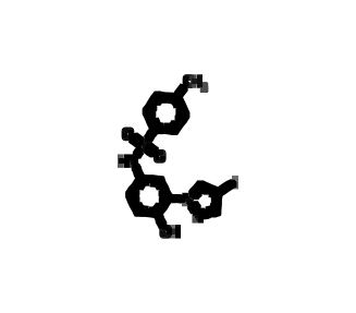 Cc1ccc(S(=O)(=O)Nc2ccc(O)c(-n3cc(I)cn3)c2)cc1